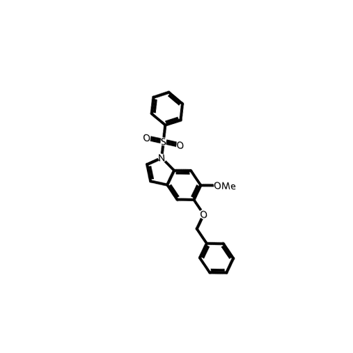 COc1cc2c(ccn2S(=O)(=O)c2ccccc2)cc1OCc1ccccc1